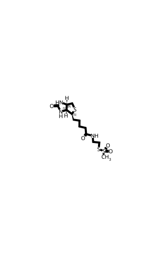 CS(=O)(=O)SCCNC(=O)CCCC[C@@H]1SC[C@@H]2NC(=O)N[C@@H]21